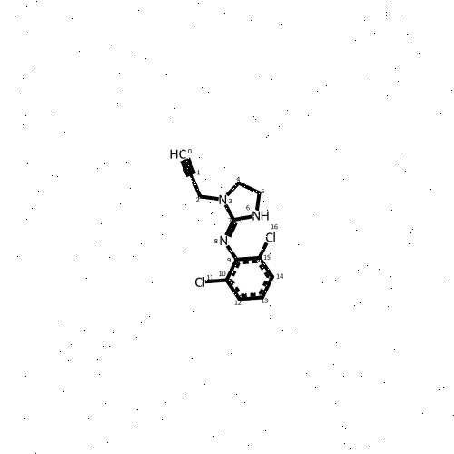 C#CCN1CCN/C1=N\c1c(Cl)cccc1Cl